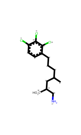 CC(CCCc1ccc(Cl)c(Cl)c1Cl)CC(CN)C(=O)O